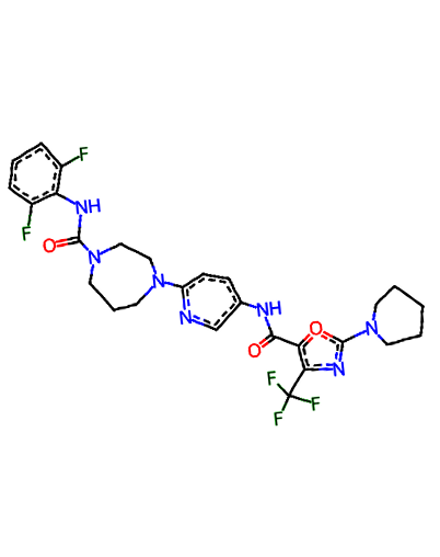 O=C(Nc1ccc(N2CCCN(C(=O)Nc3c(F)cccc3F)CC2)nc1)c1oc(N2CCCCC2)nc1C(F)(F)F